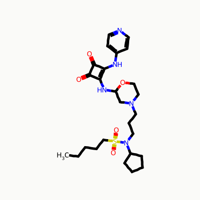 CCCCCS(=O)(=O)N(CCCN1CCOC(Nc2c(Nc3ccncc3)c(=O)c2=O)C1)C1CCCC1